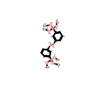 CCO[Si](OCC)(OCC)c1cccc(SSc2cccc([Si](OCC)(OCC)OCC)c2)c1